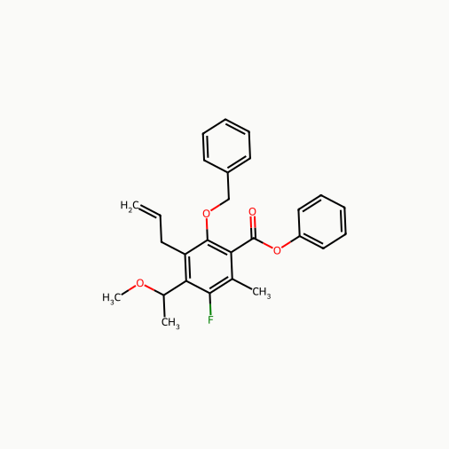 C=CCc1c(OCc2ccccc2)c(C(=O)Oc2ccccc2)c(C)c(F)c1C(C)OC